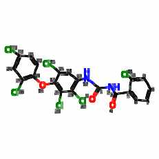 O=C(NC(=O)c1ccccc1Cl)Nc1cc(Cl)c(Oc2ccc(Cl)cc2Cl)c(Cl)c1Cl